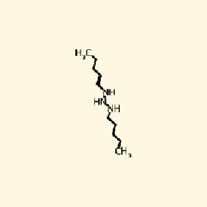 CCC/C=C/NNNCCCCC